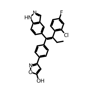 CCC(=C(c1ccc(-c2cc(O)on2)cc1)c1ccc2[nH]ncc2c1)c1ccc(F)cc1Cl